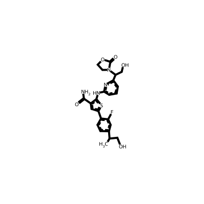 CC(CO)c1ccc(-c2cc(C(N)=O)c(Nc3cccc(C(CO)N4CCOC4=O)n3)s2)c(F)c1